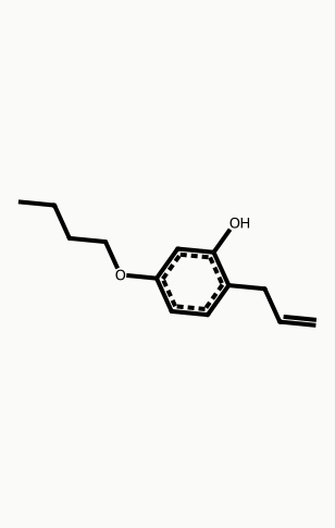 C=CCc1ccc(OCCCC)cc1O